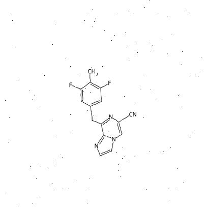 Cc1c(F)cc(Cc2nc(C#N)cn3ccnc23)cc1F